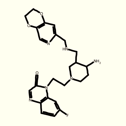 NC1CCN(CCn2c(=O)cnc3ccc(F)cc32)CC1CNCc1cc2c(cn1)OCCO2